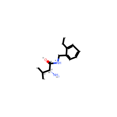 CCc1ccccc1CNC(=O)[C@H](N)C(C)C